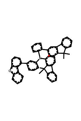 CC1(C)c2ccccc2-c2cc(-c3ccccc3N(c3cccc(-c4cccc5oc6ccccc6c45)c3)c3cccc4c3C(C)(C)c3ccccc3-4)ccc21